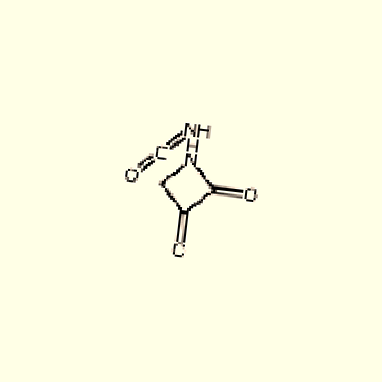 N=C=O.O=C1CNC1=O